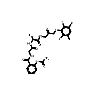 CCC(NC(=O)CNC(=O)c1ccccc1NC(=O)C(F)(F)F)C(=O)NCC(=O)COc1c(F)c(C)cc(F)c1F